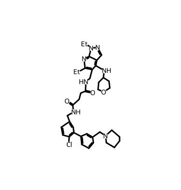 CCc1nc2c(cnn2CC)c(NC2CCOCC2)c1CNC(=O)CCC(=O)NCc1ccc(Cl)c(-c2cccc(CN3CCCCC3)c2)c1